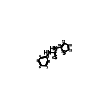 S=C(Nc1ccccc1)Nc1cccs1